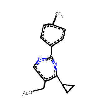 CC(=O)OCc1cnc(-c2ccc(C(F)(F)F)cc2)nc1C1CC1